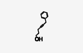 OCCCC#CCc1ccccc1